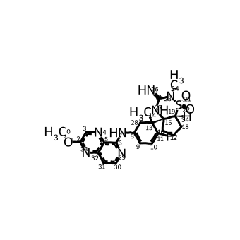 COc1cnc2c(NC3=CC=C(F)C(C)([C@]45CCC[C@H]4S(=O)(=O)N(C)C(=N)N5)C3)nccc2n1